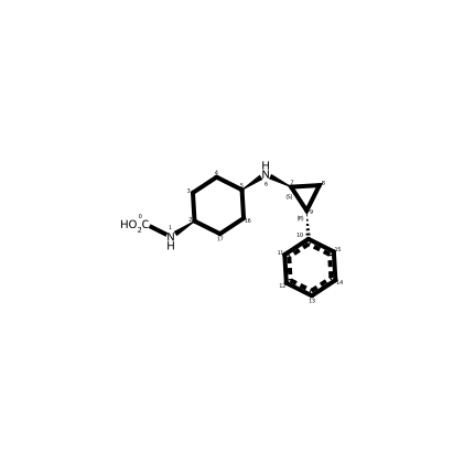 O=C(O)N[C@H]1CC[C@@H](N[C@H]2C[C@@H]2c2ccccc2)CC1